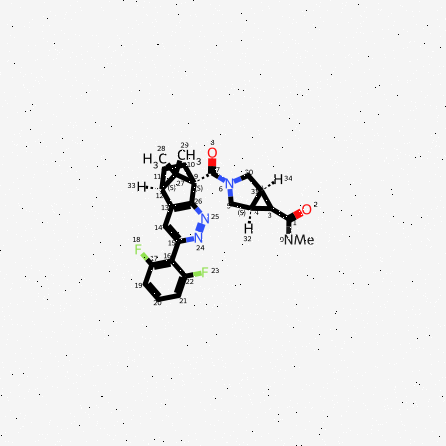 CNC(=O)C1[C@H]2CN(C(=O)[C@]34CC[C@H](c5cc(-c6c(F)cccc6F)nnc53)C4(C)C)C[C@@H]12